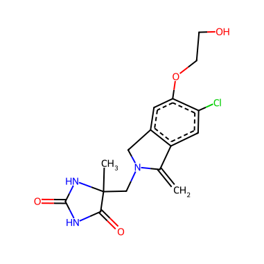 C=C1c2cc(Cl)c(OCCO)cc2CN1CC1(C)NC(=O)NC1=O